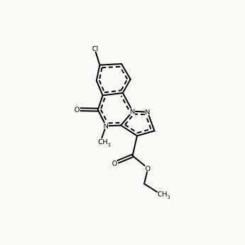 CCOC(=O)c1cnn2c3ccc(Cl)cc3c(=O)n(C)c12